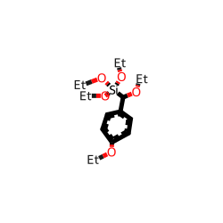 CCOc1ccc(C(OCC)[Si](OCC)(OCC)OCC)cc1